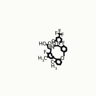 Cc1cc2cc(c1F)C(CC(=O)O)NC(=O)C(n1ccc(C(F)(F)F)cc1=O)c1cc(ccc1F)COc1cccc(C)c1-2